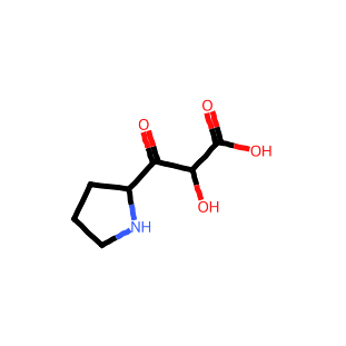 O=C(O)C(O)C(=O)C1CCCN1